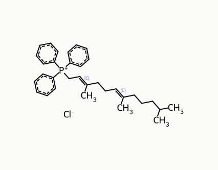 C/C(=C\C[P+](c1ccccc1)(c1ccccc1)c1ccccc1)CC/C=C(\C)CCCC(C)C.[Cl-]